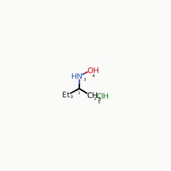 CCC(C)NO.Cl